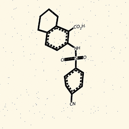 N#Cc1ccc(S(=O)(=O)Nc2ccc3c(c2C(=O)O)CCCC3)cc1